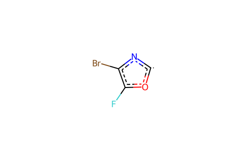 Fc1o[c]nc1Br